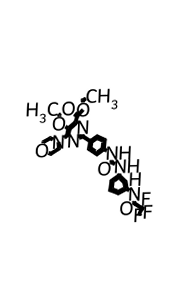 CCOC(=O)c1nc(-c2ccc(NC(=O)Nc3cccc(NC(=O)C(F)(F)F)c3)cc2)nc(N2CCOCC2)c1OCC